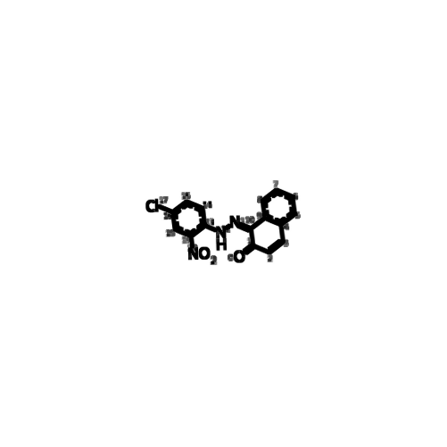 O=C1C=Cc2ccccc2/C1=N/Nc1ccc(Cl)cc1[N+](=O)[O-]